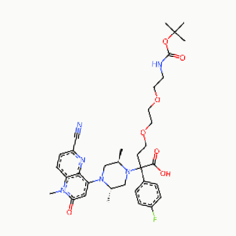 C[C@@H]1CN(c2cc(=O)n(C)c3ccc(C#N)nc23)[C@@H](C)CN1C(CCOCCOCCNC(=O)OC(C)(C)C)(C(=O)O)c1ccc(F)cc1